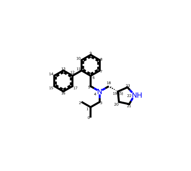 CC(C)CN(Cc1ccccc1-c1ccccc1)C[C@H]1CCNC1